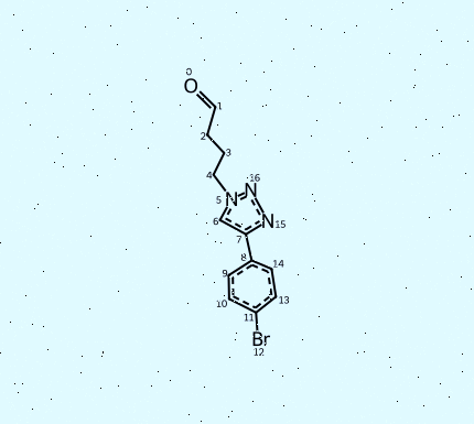 O=CCCCn1cc(-c2ccc(Br)cc2)nn1